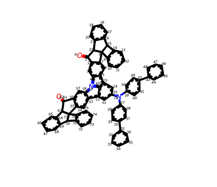 O=C1c2cc3c(cc2C24c5ccccc5C2c2ccccc2C14)c1cc(N(c2ccc(-c4ccccc4)cc2)c2ccc(-c4ccccc4)cc2)cc2c4cc5c(cc4n3c12)C(=O)C1c2ccccc2C2c3ccccc3C512